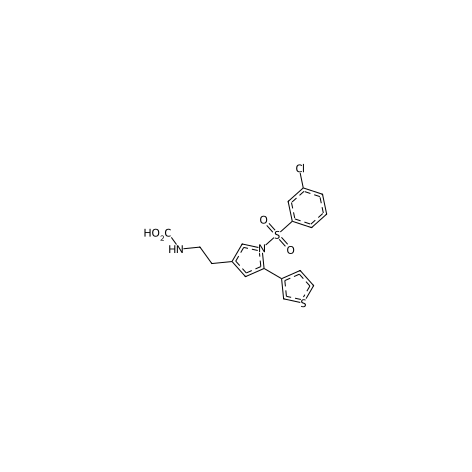 O=C(O)NCCc1cc(-c2ccsc2)n(S(=O)(=O)c2cccc(Cl)c2)c1